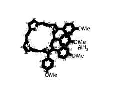 COc1ccc(C2=CC3=CC4=NC(=CC5=NC(=CC6=NC(=C(c7ccc(OC)cc7)C2=N3)C(c2ccc(OC)cc2)=C6c2ccc(OC)cc2)C=C5)C=C4)cc1.[AlH3]